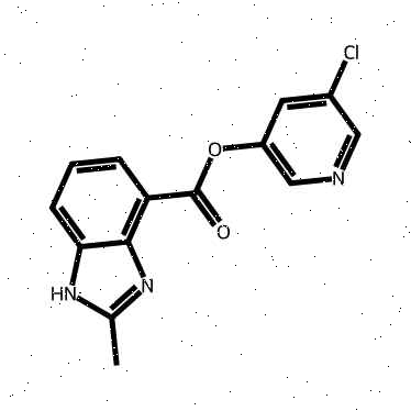 Cc1nc2c(C(=O)Oc3cncc(Cl)c3)cccc2[nH]1